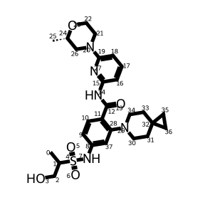 CC(CO)S(=O)(=O)Nc1ccc(C(=O)Nc2cccc(N3CCO[C@@H](C)C3)n2)c(N2CCC3(CC2)CC3)c1